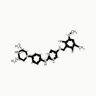 COc1cc(C)c(F)c(COc2cnc(Nc3ccc(N4C[C@@H](C)N[C@@H](C)C4)cc3)nc2)c1F